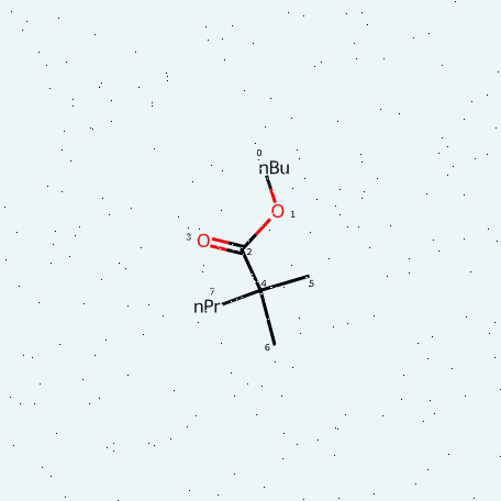 CCCCOC(=O)C(C)(C)CCC